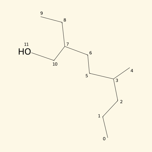 CCCC(C)CCC(CC)CO